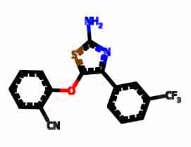 N#Cc1ccccc1Oc1sc(N)nc1-c1cccc(C(F)(F)F)c1